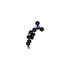 N#Cc1ccc2cc(-c3ccc4c(c3)C3(c5cc(-c6ccc(-c7cc(-c8ccccc8)nc(-c8ccccc8)n7)cc6)ccc5S4)c4ccccc4-c4ccccc43)ccc2c1